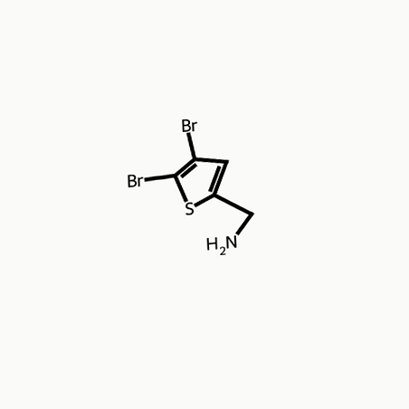 NCc1cc(Br)c(Br)s1